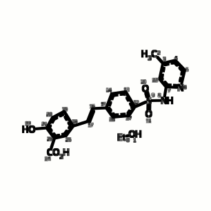 CCO.Cc1ccnc(NS(=O)(=O)c2ccc(/C=C/c3ccc(O)c(C(=O)O)c3)cc2)c1